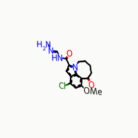 COc1cc(Cl)c2cc(C(=O)NC=NN)n3c2c1C(=O)CCCC3